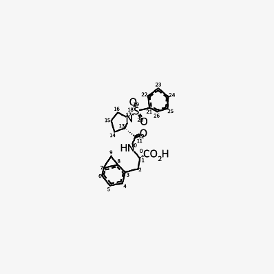 O=C(O)[C@H](Cc1cccc2c1C2)NC(=O)[C@@H]1CCCN1S(=O)(=O)c1ccccc1